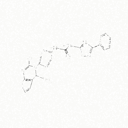 NC1c2ccoc2N=C(Cl)N1c1ccc(NC(=O)Nc2nc(-c3ccccc3)ns2)cc1